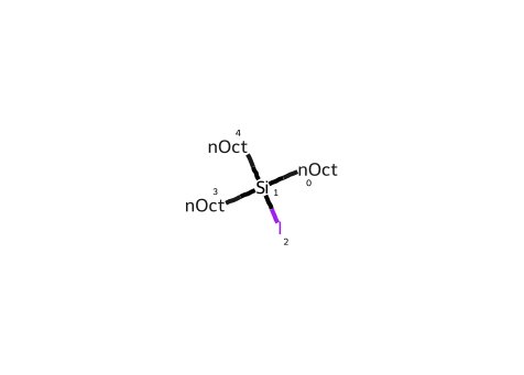 CCCCCCCC[Si](I)(CCCCCCCC)CCCCCCCC